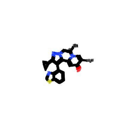 CC(C)(C)[C@@H]1Cn2nc(C3CC3)c(-c3cccc4scnc34)c2-c2cc(=O)c(C(=O)O)cn21